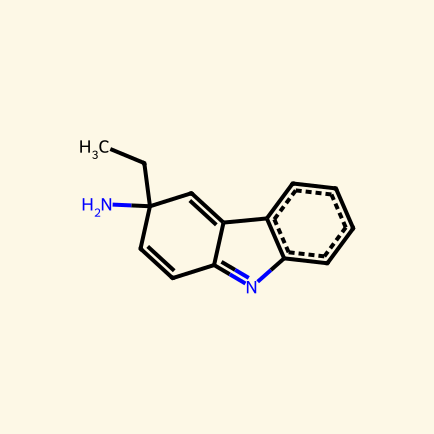 CCC1(N)C=CC2=Nc3ccccc3C2=C1